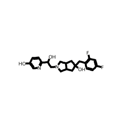 Oc1ccc(C(O)CN2CC3CC(O)(Cc4ccc(F)cc4F)CC3C2)nc1